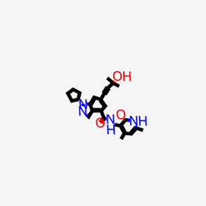 Cc1cc(C)c(CNC(=O)c2cc(C#CC(C)(C)O)cc3c2cnn3C2CCCC2)c(=O)[nH]1